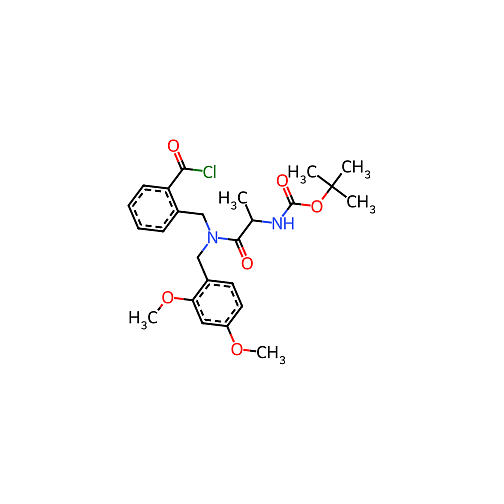 COc1ccc(CN(Cc2ccccc2C(=O)Cl)C(=O)C(C)NC(=O)OC(C)(C)C)c(OC)c1